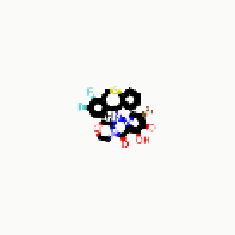 O=C1c2c(O)c(=O)c(Br)cn2N([C@@H]2c3ccccc3SCc3c2ccc(F)c3F)[C@@H]2COCCN12